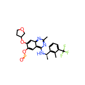 Cc1nc(N[C@H](C)c2cccc(C(F)(F)F)c2C)c2cc(OP=O)c(OC3CCOC3)cc2n1